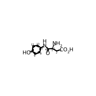 N[C@@H](CC(=O)O)C(=O)Nc1ccc(O)cc1